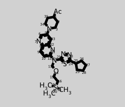 CC(=O)C1CCN(c2cnc3ccc(N(COCC[Si](C)(C)C)c4nnc(C5CCCC5)s4)nc3c2)CC1